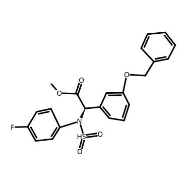 COC(=O)[C@@H](c1cccc(OCc2ccccc2)c1)N(c1ccc(F)cc1)[SH](=O)=O